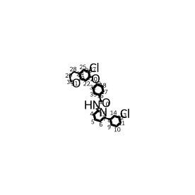 O=C(Nc1cccc(-c2cccc(Cl)c2)n1)c1ccc(Oc2cc3c(cc2Cl)CCCO3)cc1